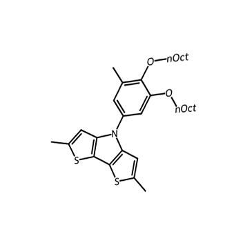 CCCCCCCCOc1cc(-n2c3cc(C)sc3c3sc(C)cc32)cc(C)c1OCCCCCCCC